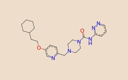 O=C(Nc1cccnn1)N1CCN(Cc2ccc(OCCC3CCCCC3)cn2)CC1